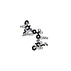 CCC(CC)C(c1ccc(/N=N/c2c(C)c(-[n+]3ccccc3)c(O)n(CCCN(C)C)c2=O)c(OC)c1)c1ccc(/N=N/c2c(C)c(-[n+]3ccccc3)c(O)n(CCCN(C)C)c2=O)c(OC)c1